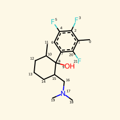 Cc1c(F)c(F)cc(C2(O)C(C)CCCC2CN(C)C)c1F